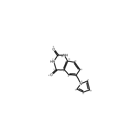 O=c1[nH]c(=O)c2cc(-n3cccc3)ccc2[nH]1